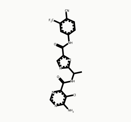 CC(NC(=O)c1ncnc(N)c1Cl)c1ncc(C(=O)Nc2ccc(C#N)c(C(F)(F)F)c2)s1